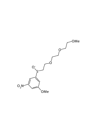 COCCOCCOCC[S+]([O-])c1cc(OC)cc([N+](=O)[O-])c1